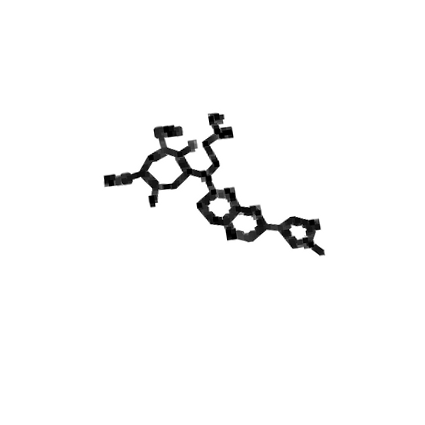 COC1=CC(OC)=C(F)CC(N(CCNC(C)C)c2ccc3ncc(-c4cnn(C)c4)nc3n2)=C1F